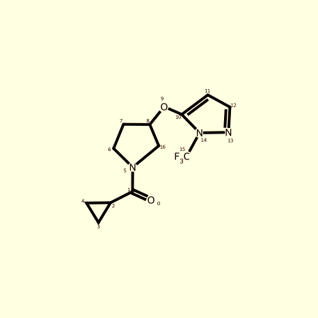 O=C(C1CC1)N1CCC(Oc2ccnn2C(F)(F)F)C1